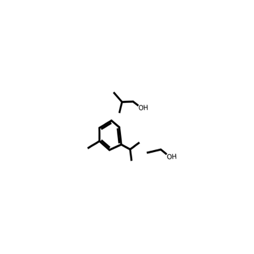 CC(C)CO.CCO.Cc1cccc(C(C)C)c1